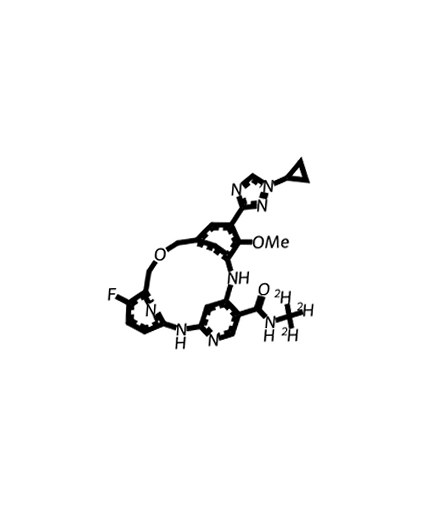 [2H]C([2H])([2H])NC(=O)c1cnc2cc1Nc1cc(cc(-c3ncn(C4CC4)n3)c1OC)COCc1nc(ccc1F)N2